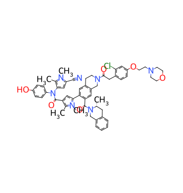 Cc1c(N(C(=O)c2cc(-c3cc4c(cc3C(=O)N3Cc5ccccc5C[C@H]3C)CN(C(=O)Cc3ccc(OCCN5CCOCC5)cc3Cl)CC4)n(C)c2C)c2ccc(O)cc2)cc(C#N)n1C